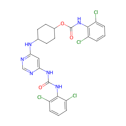 O=C(Nc1cc(NC2CCC(OC(=O)Nc3c(Cl)cccc3Cl)CC2)ncn1)Nc1c(Cl)cccc1Cl